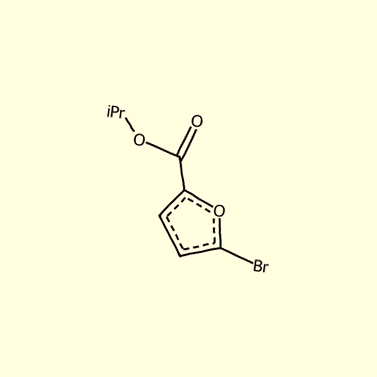 CC(C)OC(=O)c1ccc(Br)o1